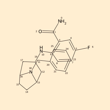 NC(=O)c1cc(F)ccc1NC1CC2CCC(C1)N2Cc1ccccc1